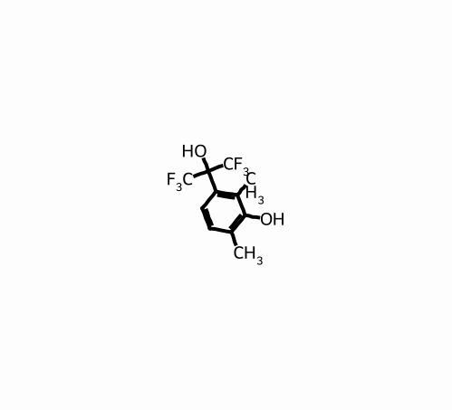 Cc1ccc(C(O)(C(F)(F)F)C(F)(F)F)c(C)c1O